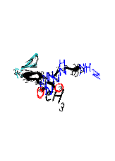 Cn1c(=O)c2nc(CNCCCN)nnc2n(Cc2ccc(F)c(F)c2)c1=O